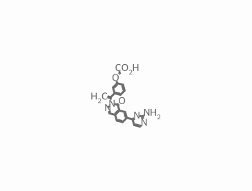 C=C(c1cccc(OCC(=O)O)c1)n1ncc2ccc(-c3ccnc(N)n3)cc2c1=O